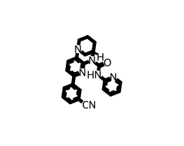 N#Cc1cccc(-c2ccc3c(n2)N(C(=O)Nc2ccccn2)[C@H]2CCCN3C2)c1